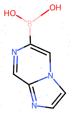 OB(O)c1cn2ccnc2cn1